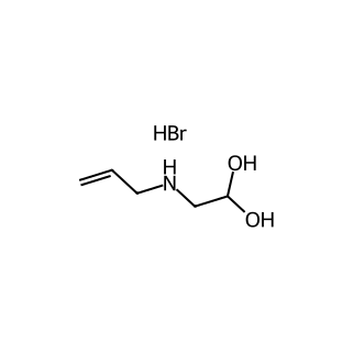 Br.C=CCNCC(O)O